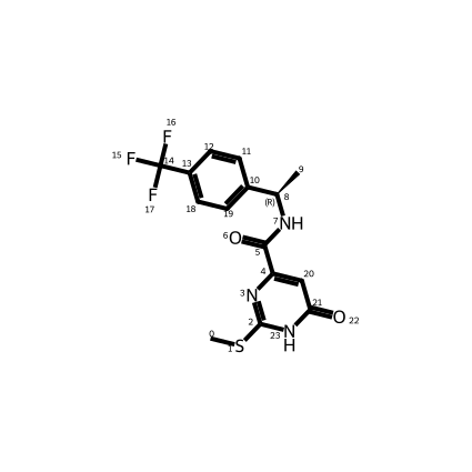 CSc1nc(C(=O)N[C@H](C)c2ccc(C(F)(F)F)cc2)cc(=O)[nH]1